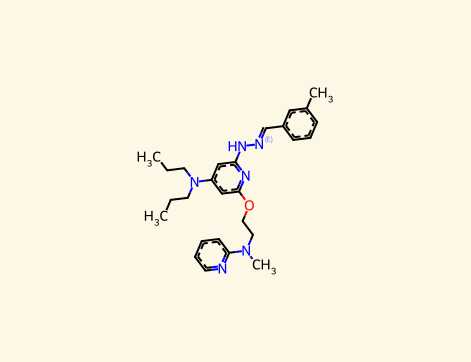 CCCN(CCC)c1cc(N/N=C/c2cccc(C)c2)nc(OCCN(C)c2ccccn2)c1